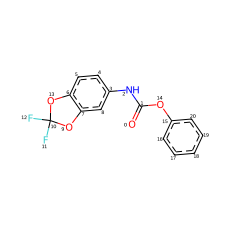 O=C(Nc1ccc2c(c1)OC(F)(F)O2)Oc1ccccc1